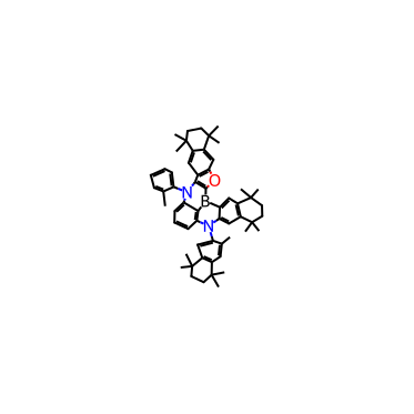 Cc1cc2c(cc1N1c3cc4c(cc3B3c5oc6cc7c(cc6c5N(c5ccccc5C)c5cccc1c53)C(C)(C)CCC7(C)C)C(C)(C)CCC4(C)C)C(C)(C)CCC2(C)C